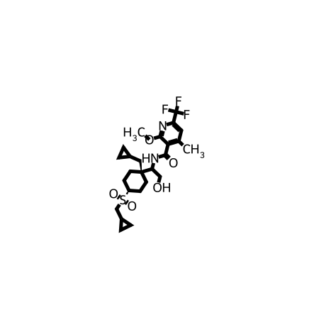 COc1nc(C(F)(F)F)cc(C)c1C(=O)NC(CO)[C@]1(CC2CC2)CC[C@H](S(=O)(=O)CC2CC2)CC1